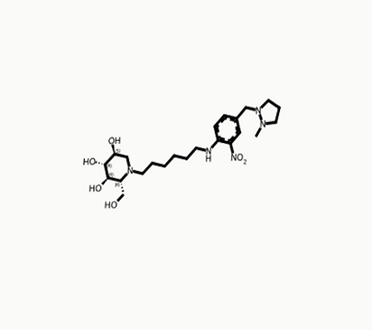 CN1CCCN1Cc1ccc(NCCCCCCN2C[C@H](O)[C@@H](O)[C@H](O)[C@H]2CO)c([N+](=O)[O-])c1